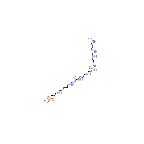 CCNCCCNCNCCCNS(=O)(=O)CCNCCCNC(=O)CCNCCCOCNCCCS(C)(=O)=O